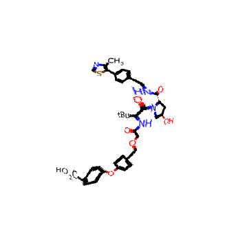 Cc1ncsc1-c1ccc(CNC(=O)[C@@H]2C[C@@H](O)CN2C(=O)C(NC(=O)COCc2ccc(Oc3ccc(C(=O)O)cc3)cc2)C(C)(C)C)cc1